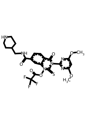 COc1cc(OC)nc(-n2c(=O)c3ccc(C(=O)NCC4CCNCC4)cc3n(OC(=O)C(F)(F)F)c2=S)n1